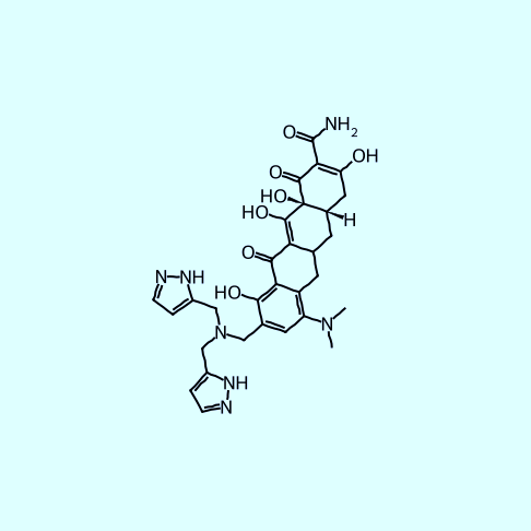 CN(C)c1cc(CN(Cc2ccn[nH]2)Cc2ccn[nH]2)c(O)c2c1CC1C[C@H]3CC(O)=C(C(N)=O)C(=O)[C@@]3(O)C(O)=C1C2=O